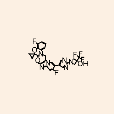 Cc1nc2cc(F)c(-c3cnc(N4CC(O)(C(F)(F)F)C4)nc3)cn2c1CN1C(=O)C2(CC2)Oc2c(F)cccc21